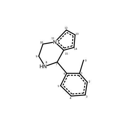 Cc1ccccc1C1NCCn2cccc21